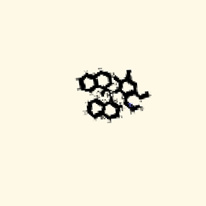 C=Cc1cc(C)c(C)c(B(c2c(C)ccc3ccccc23)C2(C)CC=Cc3ccccc32)c1/C=C\C